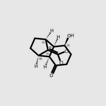 O=C1CC[C@H](O)[C@H]2[C@@H]1[C@H]1CC[C@@H]2C1=C(Cl)Cl